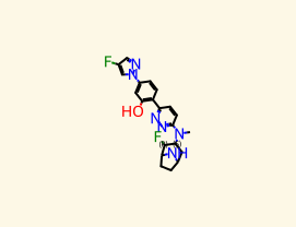 CN(c1ccc(-c2ccc(-n3cc(F)cn3)cc2O)nn1)[C@H]1CC2CCC(N2)[C@H]1F